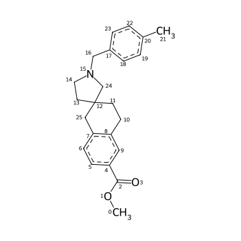 COC(=O)c1ccc2c(c1)CCC1(CCN(Cc3ccc(C)cc3)C1)C2